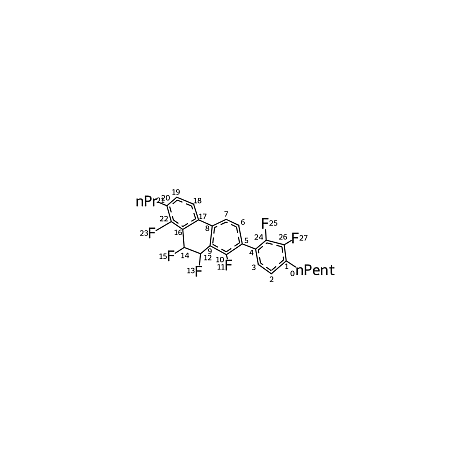 CCCCCc1ccc(-c2ccc3c(c2F)C(F)C(F)c2c-3ccc(CCC)c2F)c(F)c1F